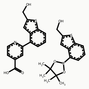 CC1(C)OB(c2cccc3sc(CO)cc23)OC1(C)C.O=C(O)c1ccnc(-c2cccc3sc(CO)cc23)c1